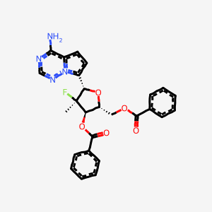 C[C@@]1(F)[C@H](OC(=O)c2ccccc2)[C@@H](COC(=O)c2ccccc2)O[C@H]1c1ccc2c(N)ncnn12